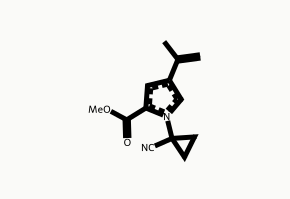 C=C(C)c1cc(C(=O)OC)n(C2(C#N)CC2)c1